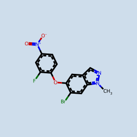 Cn1ncc2cc(Oc3ccc([N+](=O)[O-])cc3F)c(Br)cc21